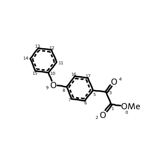 COC(=O)C(=O)c1ccc(Oc2ccccc2)cc1